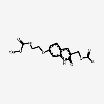 CCC(=O)OCc1cc2ccc(OCCNC(=O)OC(C)(C)C)cc2[nH]c1=O